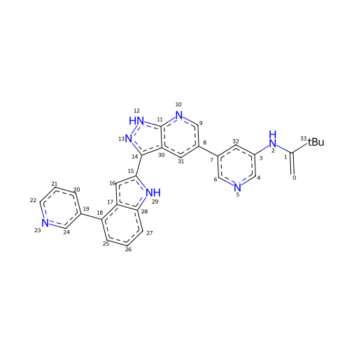 C=C(Nc1cncc(-c2cnc3[nH]nc(-c4cc5c(-c6cccnc6)cccc5[nH]4)c3c2)c1)C(C)(C)C